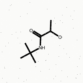 CC([O])C(=O)NC(C)(C)C